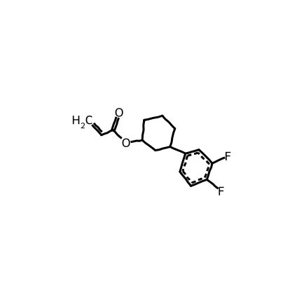 C=CC(=O)OC1CCCC(c2ccc(F)c(F)c2)C1